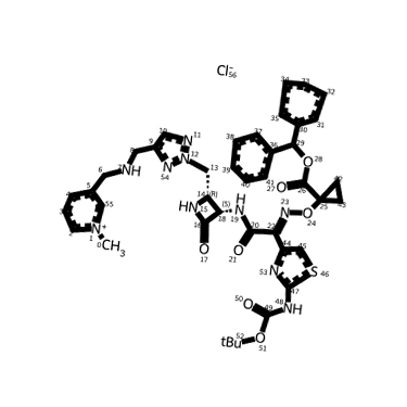 C[n+]1cccc(CNCc2cnn(C[C@H]3NC(=O)[C@H]3NC(=O)C(=NOC3(C(=O)OC(c4ccccc4)c4ccccc4)CC3)c3csc(NC(=O)OC(C)(C)C)n3)n2)c1.[Cl-]